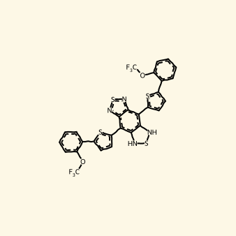 FC(F)(F)Oc1ccccc1-c1ccc(-c2c3c(c(-c4ccc(-c5ccccc5OC(F)(F)F)s4)c4nsnc24)NSN3)s1